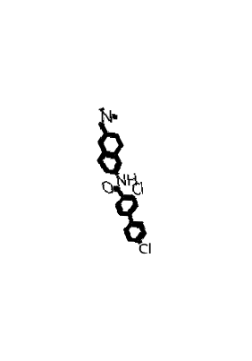 CN(C)CC1CCc2cc(NC(=O)c3ccc(-c4ccc(Cl)cc4)cc3Cl)ccc2C1